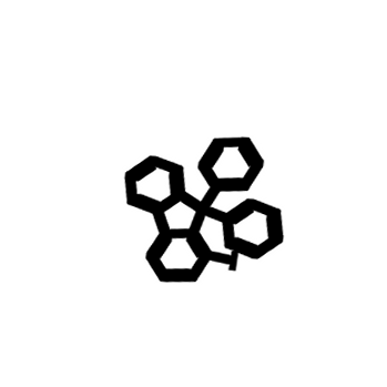 Ic1cccc2c1C(c1ccccc1)(c1ccccc1)c1ccccc1-2